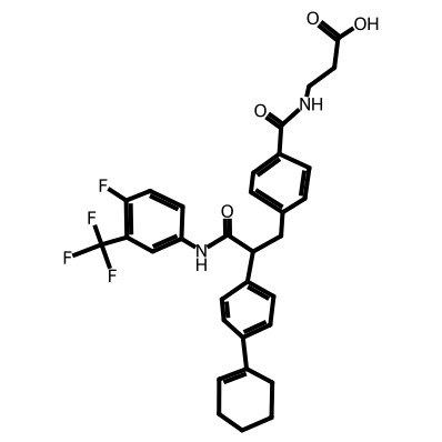 O=C(O)CCNC(=O)c1ccc(CC(C(=O)Nc2ccc(F)c(C(F)(F)F)c2)c2ccc(C3=CCCCC3)cc2)cc1